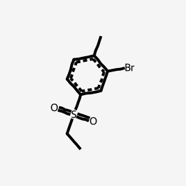 CCS(=O)(=O)c1ccc(C)c(Br)c1